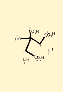 O=C(O)CC(O)(CC(=O)O)C(=O)O.[LiH].[LiH]